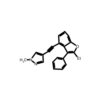 CCc1oc2cccc(C#Cc3cnn(C)c3)c2c1-c1ccccc1